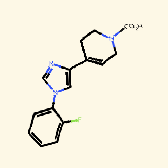 O=C(O)N1CC=C(c2cn(-c3ccccc3F)cn2)CC1